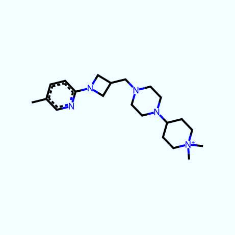 Cc1ccc(N2CC(CN3CCN(C4CC[N+](C)(C)CC4)CC3)C2)nc1